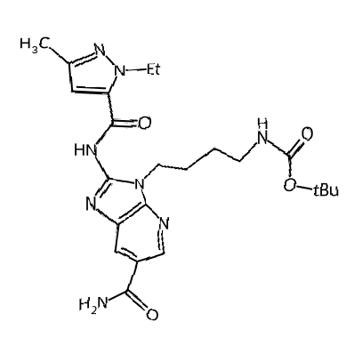 CCn1nc(C)cc1C(=O)Nc1nc2cc(C(N)=O)cnc2n1CCCCNC(=O)OC(C)(C)C